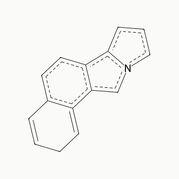 C1=Cc2ccc3c(cn4cccc34)c2=CC1